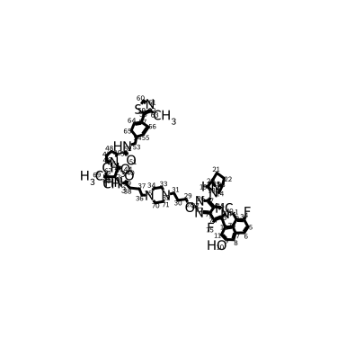 C#Cc1c(F)ccc2cc(O)cc(-c3ncc4c(N5CC6CCC(C5)N6)nc(OCCCN5CCN(CCCC(=O)N[C@H](C(=O)N6CCC[C@H]6C(=O)NCC6C=CC(c7scnc7C)=CC6)C(C)(C)C)CC5)nc4c3F)c12